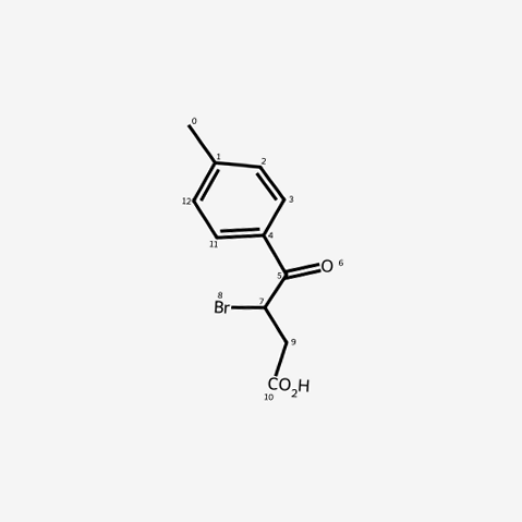 Cc1ccc(C(=O)C(Br)CC(=O)O)cc1